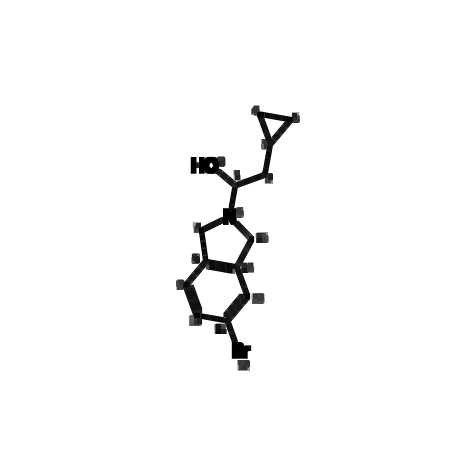 OC(CC1CC1)N1Cc2ccc(Br)cc2C1